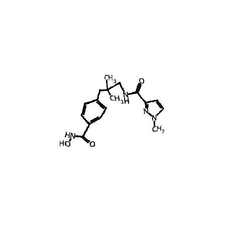 Cn1ccc(C(=O)NCC(C)(C)Cc2ccc(C(=O)NO)cc2)n1